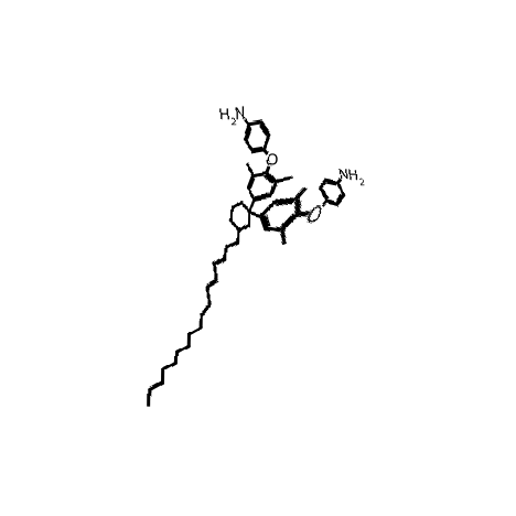 CCCCCCCCCCCCCCCCCC1CCCC(c2cc(C)c(Oc3ccc(N)cc3)c(C)c2)(c2cc(C)c(Oc3ccc(N)cc3)c(C)c2)C1